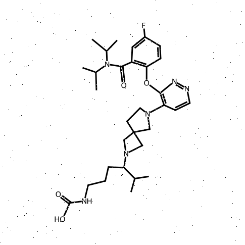 CC(C)C(CCCNC(=O)O)N1CC2(CCN(c3ccnnc3Oc3ccc(F)cc3C(=O)N(C(C)C)C(C)C)C2)C1